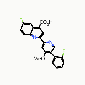 COc1cc(-c2cc(C(=O)O)c3cc(F)ccc3n2)ncc1-c1ccccc1F